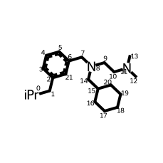 CC(C)Cc1cccc(CN(CCN(C)C)CC2CCCCC2)c1